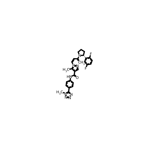 C=C(/C=C\n1ncc(C(=O)Nc2ccc(-c3nnnn3C)cc2)c1C)N1CCC[C@@H]1c1cc(F)ccc1F